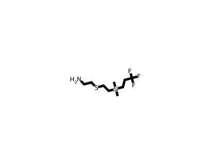 C[Si](C)(CCSCCN)CCC(F)(F)F